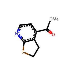 COC(=O)c1ccnc2c1CCS2